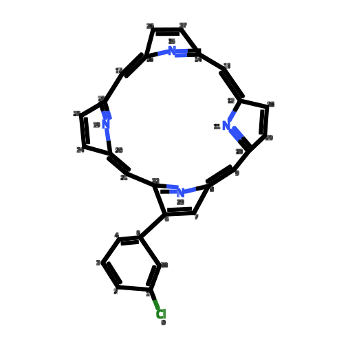 Clc1cccc(C2=CC3=CC4=NC(=CC5=NC(=CC6=NC(=CC2=N3)C=C6)C=C5)C=C4)c1